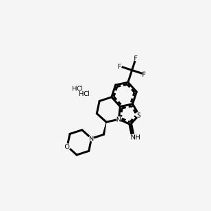 Cl.Cl.N=c1sc2cc(C(F)(F)F)cc3c2n1[C@@H](CN1CCOCC1)CC3